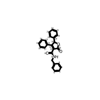 O=C(NCc1ccccc1)C1=C(c2ccccc2)C(c2ccccc2)OC1=O